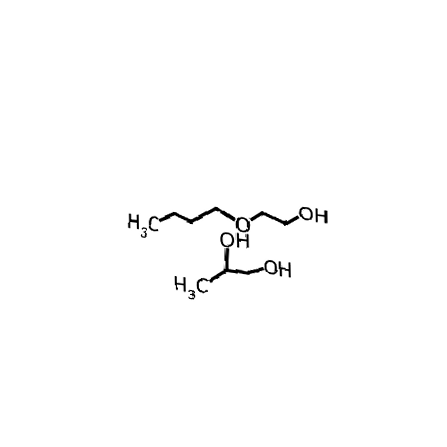 CC(O)CO.CCCCOCCO